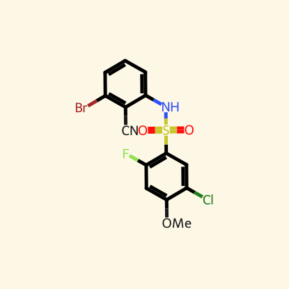 COc1cc(F)c(S(=O)(=O)Nc2cccc(Br)c2C#N)cc1Cl